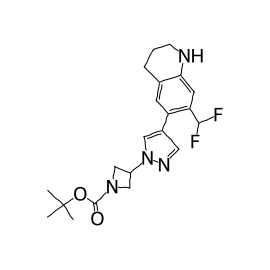 CC(C)(C)OC(=O)N1CC(n2cc(-c3cc4c(cc3C(F)F)NCCC4)cn2)C1